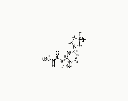 CC(C)(C)NC(=O)c1cnn2ccc(N3CCC(F)(F)C3)nc12